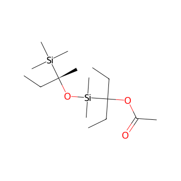 CCC(CC)(OC(C)=O)[Si](C)(C)O[C@](C)(CC)[Si](C)(C)C